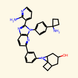 Nc1ncccc1-c1nc2ccc(-c3cccc(N4C5CC(O)CC6CCC654)c3)nc2n1-c1ccc(C2(N)CCC2)cc1